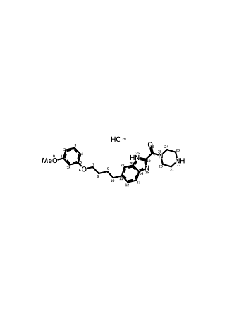 COc1cccc(OCCCCc2ccc3nc(C(=O)N4CCNCC4)[nH]c3c2)c1.Cl